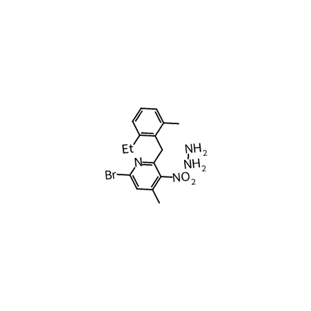 CCc1cccc(C)c1Cc1nc(Br)cc(C)c1[N+](=O)[O-].NN